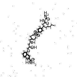 CCCCCC(CC(=O)NC(N)=O)c1ccc(S(=O)(=O)N2CCC(CNCC(O)COc3cccc4[nH]c(C(N)=O)cc34)CC2)cc1